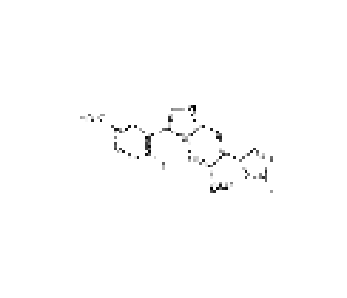 COc1nn2c(-c3cc(C(=O)O)ccc3F)cnc2cc1-c1cnn(C)c1